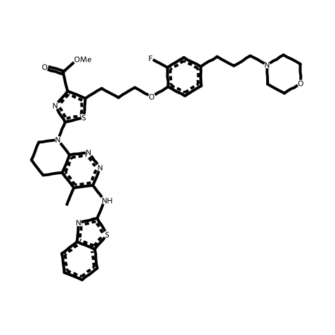 COC(=O)c1nc(N2CCCc3c2nnc(Nc2nc4ccccc4s2)c3C)sc1CCCOc1ccc(CCCN2CCOCC2)cc1F